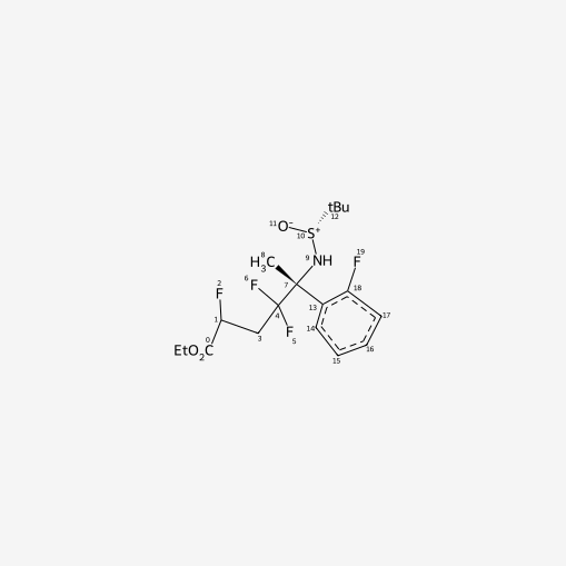 CCOC(=O)C(F)CC(F)(F)[C@](C)(N[S@+]([O-])C(C)(C)C)c1ccccc1F